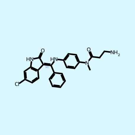 CN(C(=O)CCN)c1ccc(N/C(=C2\C(=O)Nc3cc(Cl)ccc32)c2ccccc2)cc1